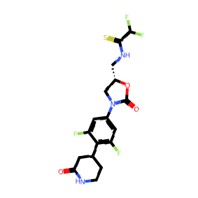 O=C1CC(c2c(F)cc(N3C[C@H](CNC(=S)C(F)F)OC3=O)cc2F)CCN1